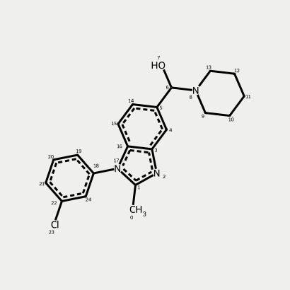 Cc1nc2cc(C(O)N3CCCCC3)ccc2n1-c1cccc(Cl)c1